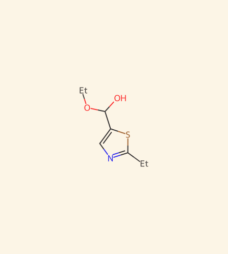 CCOC(O)c1cnc(CC)s1